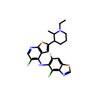 CCN1CCCC(c2cc3c(Nc4c(F)cc5scnc5c4F)c(F)cnc3s2)C1C